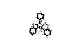 CC1(n2cnc3ccccc32)c2ccccc2CCN1Cc1ccccc1